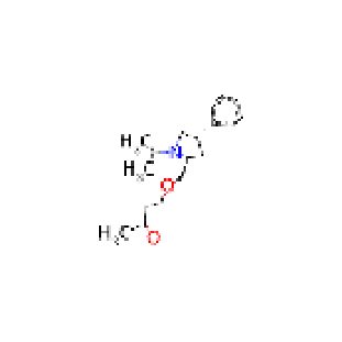 CC(=O)CCOC[C@@H]1C[C@@H](c2ccccc2)CN1C(C)C